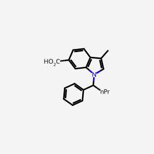 CCCC(c1ccccc1)n1cc(C)c2ccc(C(=O)O)cc21